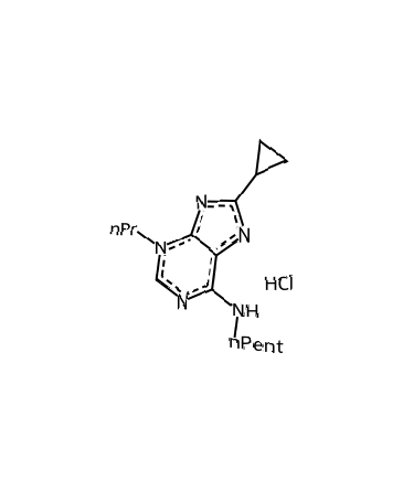 CCCCCNc1ncn(CCC)c2nc(C3CC3)nc1-2.Cl